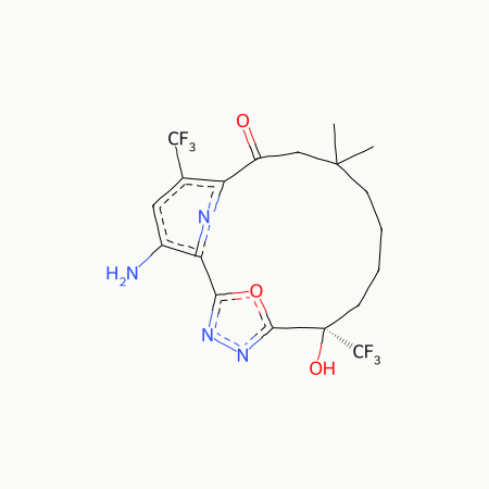 CC1(C)CCCC[C@](O)(C(F)(F)F)c2nnc(o2)-c2nc(c(C(F)(F)F)cc2N)C(=O)C1